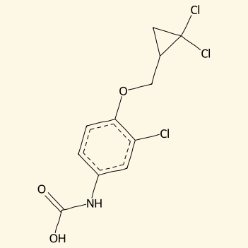 O=C(O)Nc1ccc(OCC2CC2(Cl)Cl)c(Cl)c1